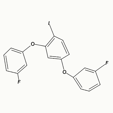 Fc1cccc(Oc2ccc(I)c(Oc3cccc(F)c3)c2)c1